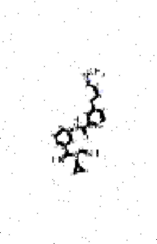 C/N=C\C=C/Cc1ccnc(C(=O)Nc2cccc(C(=N)N(C=N)C3CC3)c2)c1